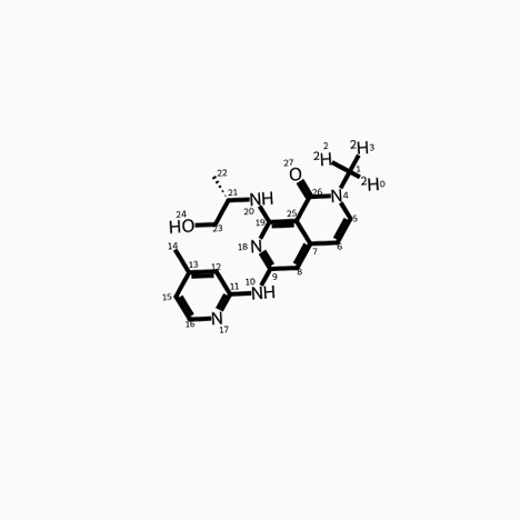 [2H]C([2H])([2H])n1ccc2cc(Nc3cc(C)ccn3)nc(N[C@@H](C)CO)c2c1=O